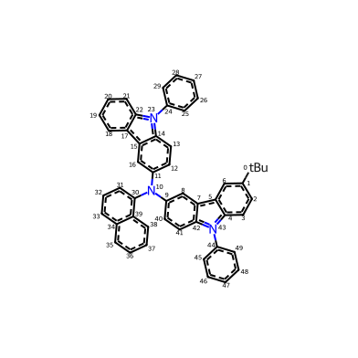 CC(C)(C)c1ccc2c(c1)c1cc(N(c3ccc4c(c3)c3ccccc3n4-c3ccccc3)c3cccc4ccccc34)ccc1n2-c1ccccc1